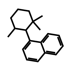 CC1CCCC(C)(C)C1c1cccc2ccccc12